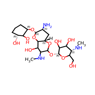 CNC1C(O[C@H]2OC(CO)[C@@H](NC)C(O)C2O)O[C@H]2C[C@H](N)[C@@H](O[C@@H]3CCC[C@@H](O)C3O)OC2C1O